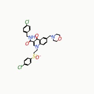 O=C(NCc1ccc(Cl)cc1)c1cn(CC[S+]([O-])c2ccc(Cl)cc2)c2ccc(CN3CCOCC3)cc2c1=O